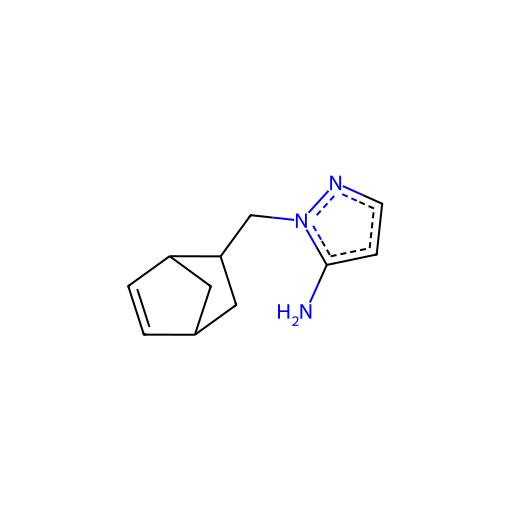 Nc1ccnn1CC1CC2C=CC1C2